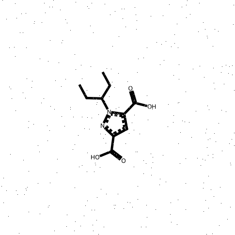 CCC(CC)n1nc(C(=O)O)cc1C(=O)O